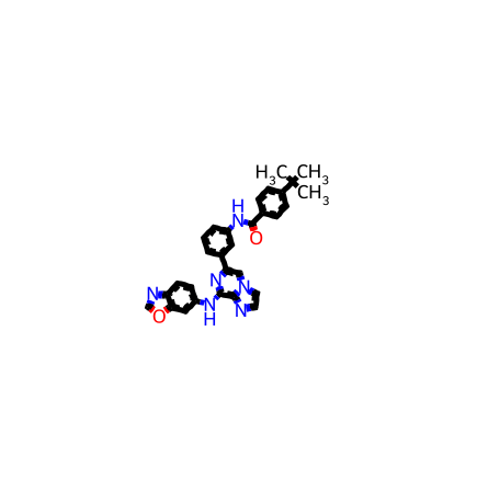 CC(C)(C)c1ccc(C(=O)Nc2cccc(-c3cn4ccnc4c(Nc4ccc5ncoc5c4)n3)c2)cc1